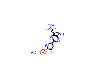 C[C@@H](O)COc1ncc(-c2cnc3[nH]cc(C=CC(N)=O)c3n2)cc1F